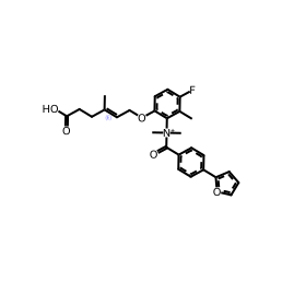 C/C(=C\COc1ccc(F)c(C)c1[N+](C)(C)C(=O)c1ccc(-c2ccco2)cc1)CCC(=O)O